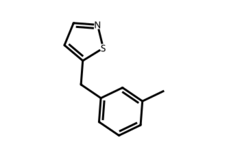 Cc1cccc(Cc2ccns2)c1